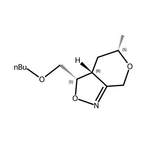 CCCCOC[C@H]1ON=C2CO[C@@H](C)C[C@H]21